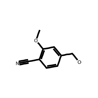 COc1cc(C[O])ccc1C#N